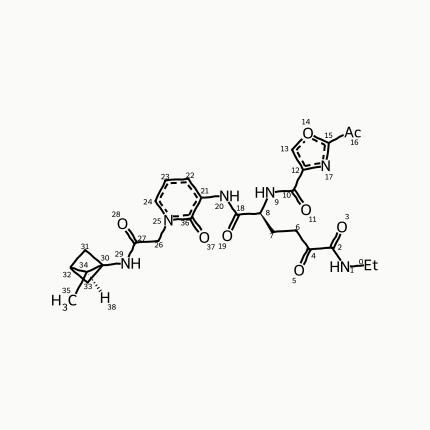 CCNC(=O)C(=O)CC[C@H](NC(=O)c1coc(C(C)=O)n1)C(=O)Nc1cccn(CC(=O)NC23CC(C2)[C@@H]3C)c1=O